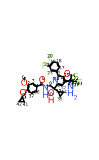 COc1cc(C(=O)NCC(O)(c2cc3c(c(-c4ccc(F)c(F)c4)n2)OC[C@@]3(N)C(F)(F)F)C2CC2)ccc1OC1CC1